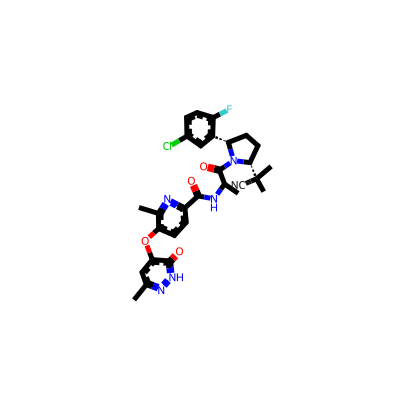 Cc1cc(Oc2ccc(C(=O)NC(C)C(=O)N3[C@H](c4cc(Cl)ccc4F)CC[C@@H]3C(C)(C)C#N)nc2C)c(=O)[nH]n1